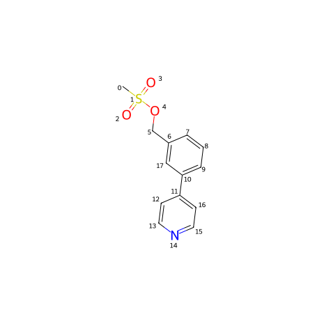 CS(=O)(=O)OCc1cccc(-c2ccncc2)c1